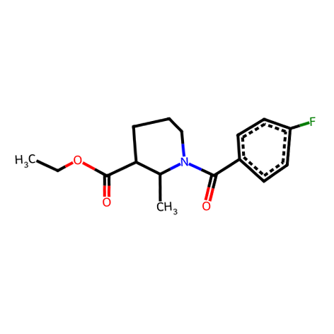 CCOC(=O)C1CCCN(C(=O)c2ccc(F)cc2)C1C